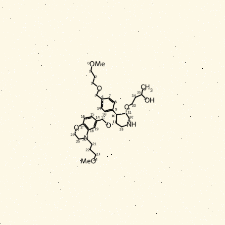 COCCCOCc1ccc([C@@H]2[C@@H](OCc3ccc4c(c3)N(CCCOC)CCO4)CNC[C@H]2OCCC(C)O)cc1